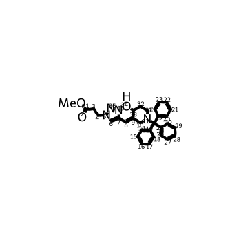 COC(=O)CCn1cc(/C=C2/CN(C(c3ccccc3)(c3ccccc3)c3ccccc3)CCC2O)nn1